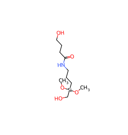 CO[Si](CO)(CCCNC(=O)CCCO)OC